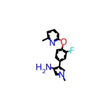 Cc1cccc(Oc2ccc(-c3cn(C)cc3N)cc2F)n1